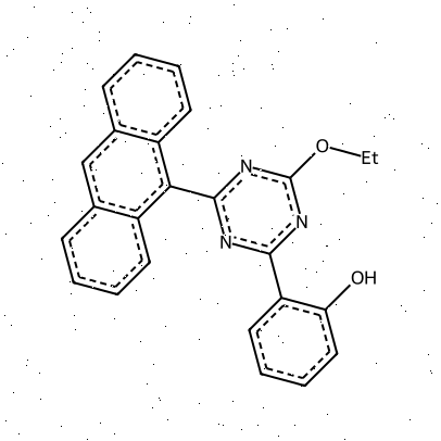 CCOc1nc(-c2ccccc2O)nc(-c2c3ccccc3cc3ccccc23)n1